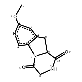 COc1cc2c(cn1)N1C(=O)CNC(=O)C1C2